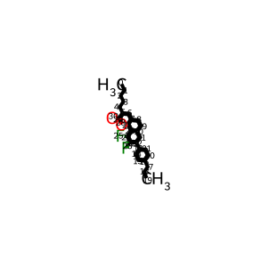 CCCCCc1cc2ccc3cc(-c4ccc(CCC)cc4)c(F)c(F)c3c2oc1=O